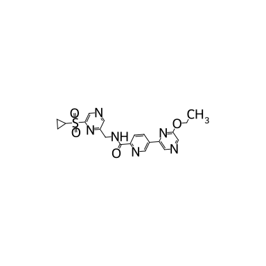 CCOc1cncc(-c2ccc(C(=O)NCc3cncc(S(=O)(=O)C4CC4)n3)nc2)n1